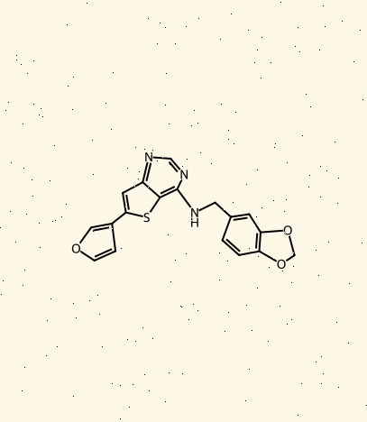 c1nc(NCc2ccc3c(c2)OCO3)c2sc(-c3ccoc3)cc2n1